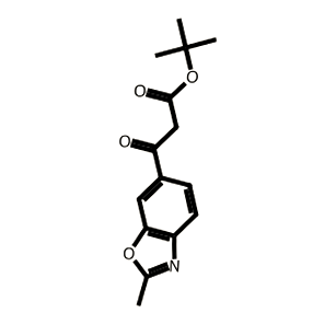 Cc1nc2ccc(C(=O)CC(=O)OC(C)(C)C)cc2o1